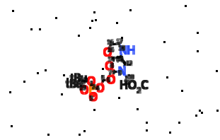 CC(C)(C)OP(=O)(OCOC(=O)N(CC(=O)O)C[C@H]1COCCN1)OC(C)(C)C